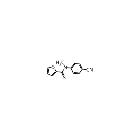 CN(C(=S)c1cccs1)c1ccc(C#N)cc1